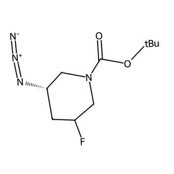 CC(C)(C)OC(=O)N1CC(F)C[C@H](N=[N+]=[N-])C1